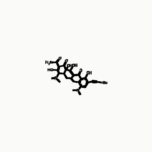 CCCCC#Cc1cc(N(C)C)c2c(c1O)C(=O)C1=C(O)C3(O)C(=O)C(C(N)=O)=C(O)C(N(C)C)C3CC1C2